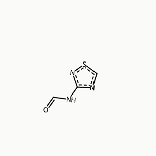 O=CNc1ncsn1